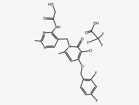 Cc1ncc(Cn2c(C)cc(OCc3ccc(F)cc3F)c(Cl)c2=O)c(NC(=O)CO)n1.O=C(O)C(F)(F)F